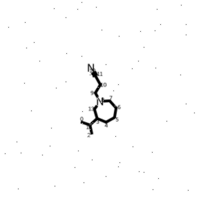 CC(C)C1CCCCN(CCC#N)C1